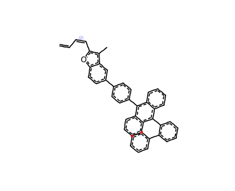 C=C/C=C\c1oc2ccc(-c3ccc(-c4c5ccccc5c(-c5ccccc5-c5ccccc5)c5ccccc45)cc3)cc2c1C